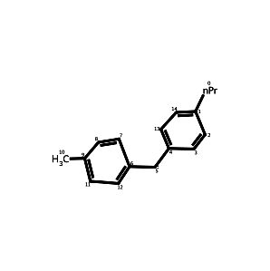 CCCc1ccc([C]c2ccc(C)cc2)cc1